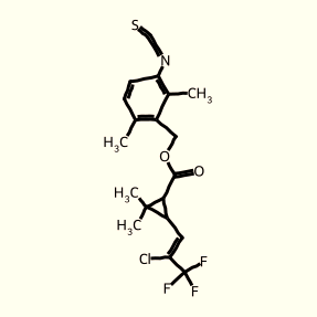 Cc1ccc(N=C=S)c(C)c1COC(=O)C1C(C=C(Cl)C(F)(F)F)C1(C)C